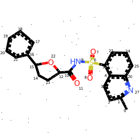 Cc1ccc2c(S(=O)(=O)NC(=O)C3CCC(c4ccccc4)O3)cccc2n1